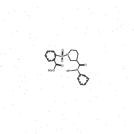 CCCN(C(=O)C1CCCN(S(=O)(=O)c2ccccc2C(=O)OC)C1)c1ccccc1